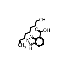 C=CCCCCCCC.O=C(O)c1cccc2[nH]nnc12